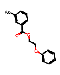 CC(=O)c1cccc(C(=O)OCCOc2ccccc2)c1